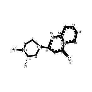 CC(C)N1CCN(c2cc(=O)n3ccccc3n2)C[C@@H]1C